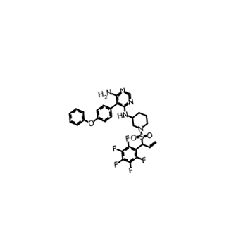 C=CC(c1c(F)c(F)c(F)c(F)c1F)S(=O)(=O)N1CCCC(Nc2ncnc(N)c2-c2ccc(Oc3ccccc3)cc2)C1